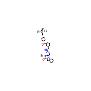 CCN(C(=O)c1cc2ccccc2[nH]1)[C@H]1CCC[C@@H](NCc2cccc(C(=O)c3ccc(C#C[Si](C(C)C)(C(C)C)C(C)C)cc3)c2)C1